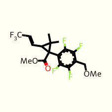 COCc1c(F)c(F)c(C2(C(=O)OC)C(C=CC(F)(F)F)C2(C)C)c(F)c1F